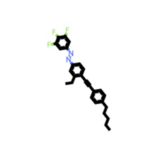 CCCCCc1ccc(C#Cc2ccc(N=Nc3cc(F)c(F)c(F)c3)cc2CC)cc1